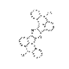 N#Cc1c2ccccc2c2c3nc4c5cccc6c(C#N)c7ccccc7c(c4nc3c3cccc1c32)c65